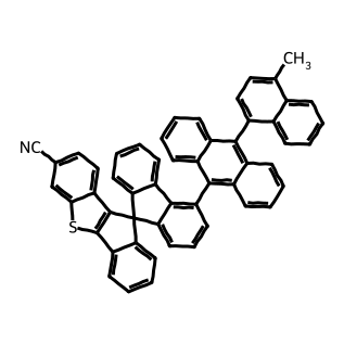 Cc1ccc(-c2c3ccccc3c(-c3cccc4c3-c3ccccc3C43c4ccccc4-c4sc5cc(C#N)ccc5c43)c3ccccc23)c2ccccc12